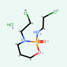 Cl.O=P1(NCCCl)OCCCN1CCCl